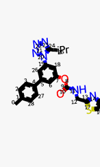 Cc1ccc(-c2cc(OC(=O)NCc3nccs3)cc(-n3nnnc3C(C)C)c2)cc1